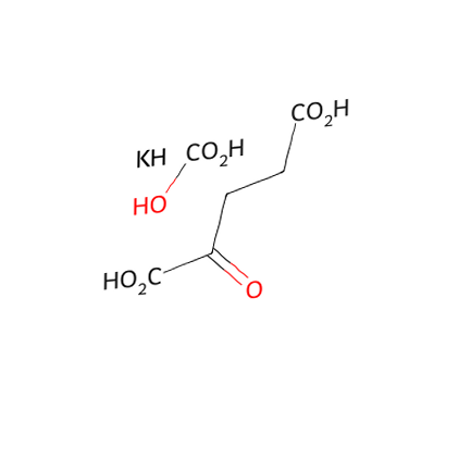 O=C(O)CCC(=O)C(=O)O.O=C(O)O.[KH]